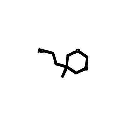 CC(=O)CCC1(C)COCOC1